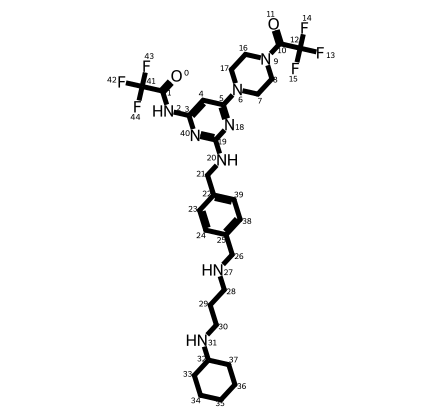 O=C(Nc1cc(N2CCN(C(=O)C(F)(F)F)CC2)nc(NCc2ccc(CNCCCNC3CCCCC3)cc2)n1)C(F)(F)F